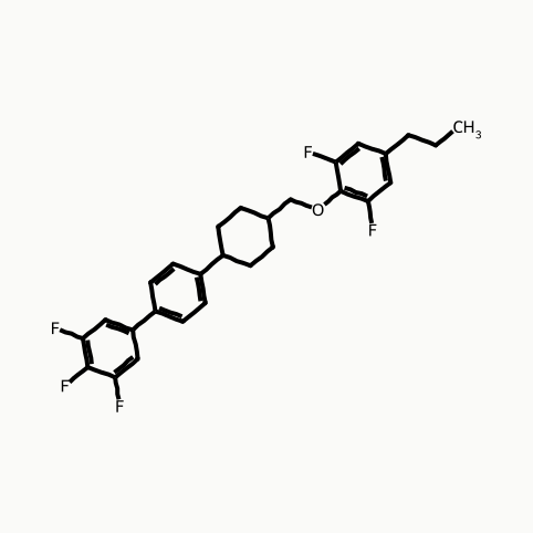 CCCc1cc(F)c(OCC2CCC(c3ccc(-c4cc(F)c(F)c(F)c4)cc3)CC2)c(F)c1